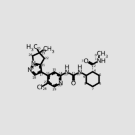 CNC(=O)[C@@H]1CCCCC1NC(=O)Nc1cc(-c2cnn3c2CC(C)(C)C3)c(Cl)cn1